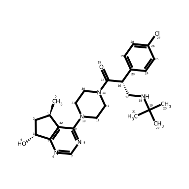 C[C@@H]1C[C@@H](O)c2ncnc(N3CCN(C(=O)[C@@H](CNC(C)(C)C)c4ccc(Cl)cc4)CC3)c21